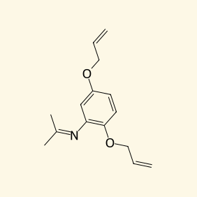 C=CCOc1ccc(OCC=C)c(N=C(C)C)c1